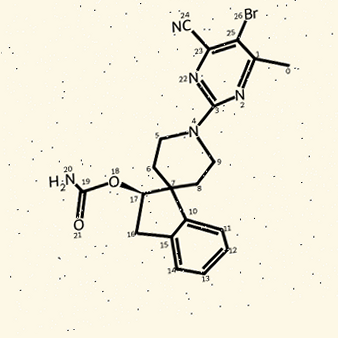 Cc1nc(N2CCC3(CC2)c2ccccc2C[C@H]3OC(N)=O)nc(C#N)c1Br